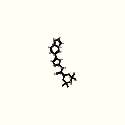 CC1(C)CC(C(=O)Nc2ncc(-c3ccc4nncn4c3)s2)CC(C)(C)O1